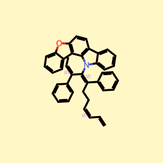 C=C/C=C\CC/C(=C(\C(=C/C)c1ccccc1)n1c2ccccc2c2ccc3oc4ccccc4c3c21)c1ccccc1